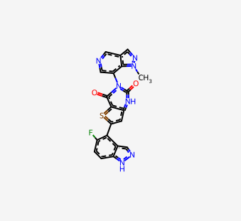 Cn1ncc2cncc(-n3c(=O)[nH]c4cc(-c5c(F)ccc6[nH]ncc56)sc4c3=O)c21